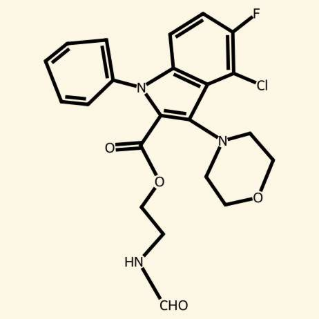 O=CNCCOC(=O)c1c(N2CCOCC2)c2c(Cl)c(F)ccc2n1-c1ccccc1